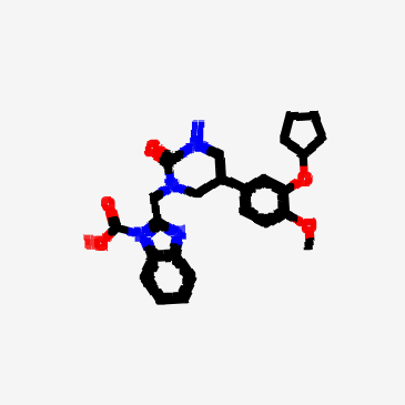 COc1ccc(C2CNC(=O)N(Cc3nc4ccccc4n3C(=O)O)C2)cc1OC1CCCC1